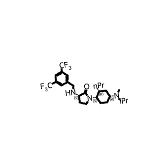 CCC[C@@H]1C[C@H](N(C)C(C)C)CC[C@@H]1N1CC[C@H](NCc2cc(C(F)(F)F)cc(C(F)(F)F)c2)C1=O